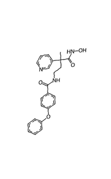 CC(CCNC(=O)c1ccc(Oc2ccccc2)cc1)(C(=O)NO)c1cccnc1